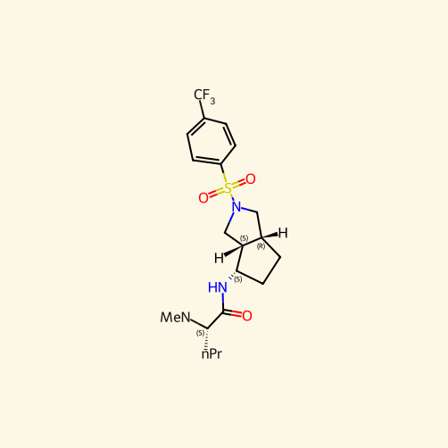 CCC[C@H](NC)C(=O)N[C@H]1CC[C@H]2CN(S(=O)(=O)c3ccc(C(F)(F)F)cc3)C[C@H]21